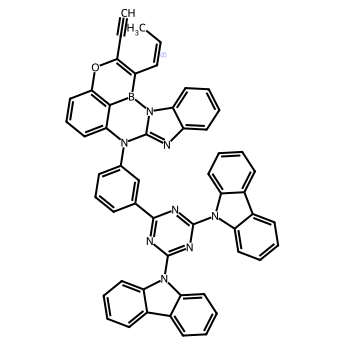 C#CC1=C(/C=C\C)B2c3c(cccc3N(c3cccc(-c4nc(-n5c6ccccc6c6ccccc65)nc(-n5c6ccccc6c6ccccc65)n4)c3)c3nc4ccccc4n32)O1